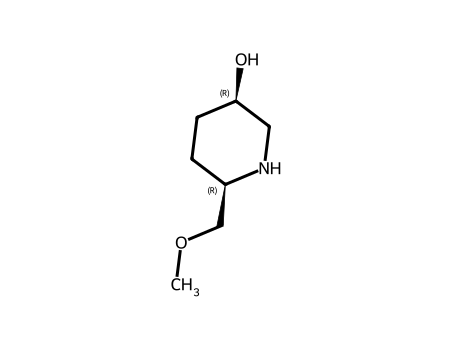 COC[C@H]1CC[C@@H](O)CN1